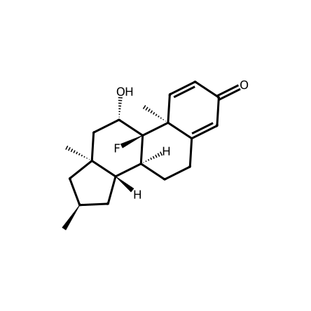 C[C@@H]1C[C@H]2[C@@H]3CCC4=CC(=O)C=C[C@]4(C)[C@@]3(F)[C@@H](O)C[C@]2(C)C1